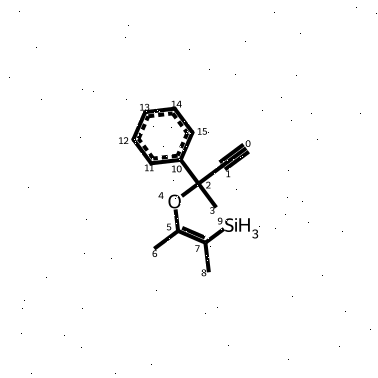 C#CC(C)(OC(C)=C(C)[SiH3])c1ccccc1